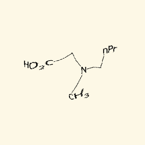 CCCCN(C)CC(=O)O